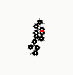 Cc1cccc2c1oc1c(N(c3ccccc3)c3ccc4cc5c6ccc(N(c7ccccc7)c7cccc8c7oc7c(C)cccc78)cc6n6c7cccc(-c8ccccc8)c7c(c4c3)c56)cccc12